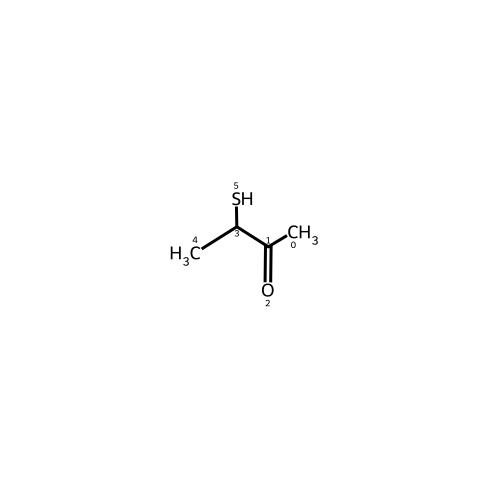 CC(=O)C(C)S